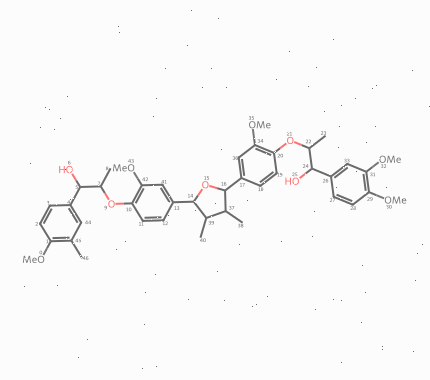 COc1ccc(C(O)C(C)Oc2ccc(C3OC(c4ccc(OC(C)C(O)c5ccc(OC)c(OC)c5)c(OC)c4)C(C)C3C)cc2OC)cc1C